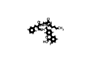 CCCCc1nc(Cl)c(CNC(=O)C(CS)Cc2ccccc2)n1Cc1ccc(-c2cccc(F)c2C(=O)O)cc1